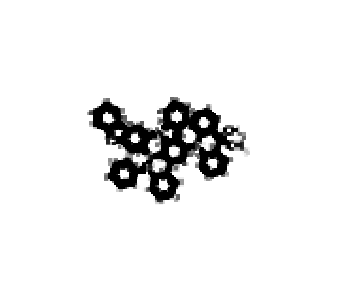 CC1(C)c2ccccc2N(c2cc3c4c5c2c2ccccc2n5-c2cc5c(cc2B4N(c2ccccc2)c2ccccc2-3)oc2ccccc25)c2ccccc21